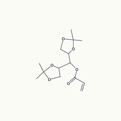 C=CC(=O)OC(C1COC(C)(C)O1)C1COC(C)(C)O1